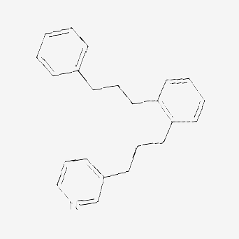 [c]1cccc(CCCc2cccnc2)c1CCCc1ccccc1